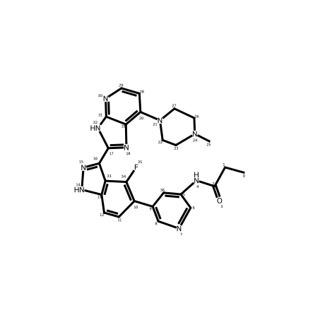 CCC(=O)Nc1cncc(-c2ccc3[nH]nc(-c4nc5c(N6CCN(C)CC6)ccnc5[nH]4)c3c2F)c1